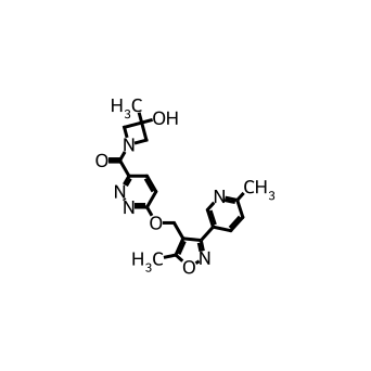 Cc1ccc(-c2noc(C)c2COc2ccc(C(=O)N3CC(C)(O)C3)nn2)cn1